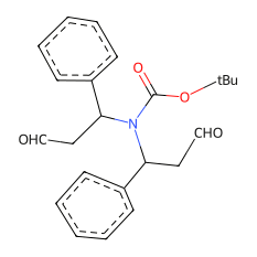 CC(C)(C)OC(=O)N(C(CC=O)c1ccccc1)C(CC=O)c1ccccc1